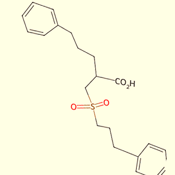 O=C(O)C(CCCc1ccccc1)CS(=O)(=O)CCCc1ccccc1